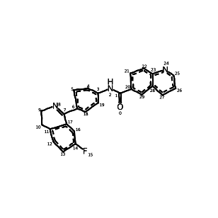 O=C(Nc1ccc(C2=NCCc3ccc(F)cc32)cc1)c1ccc2ncccc2c1